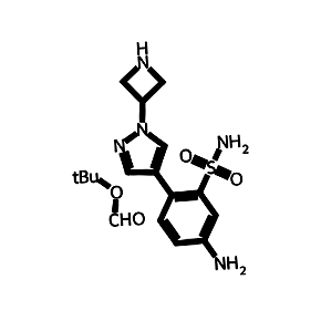 CC(C)(C)OC=O.Nc1ccc(-c2cnn(C3CNC3)c2)c(S(N)(=O)=O)c1